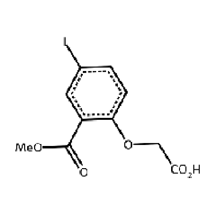 COC(=O)c1cc(I)ccc1OCC(=O)O